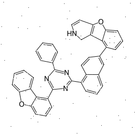 C1=Cc2oc3cccc(-c4ccc5c(-c6nc(-c7ccccc7)nc(-c7cccc8oc9ccccc9c78)n6)cccc5c4)c3c2CN1